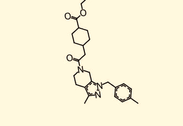 CCOC(=O)C1CCC(CC(=O)N2CCc3c(C)nn(Cc4ccc(C)cc4)c3C2)CC1